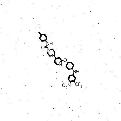 Cc1ccc(NC(=O)N2CCN(c3ccnc(O[C@H]4CC[C@H](Nc5ccc([N+](=O)[O-])c(C(F)(F)F)c5)CC4)c3)CC2)cc1